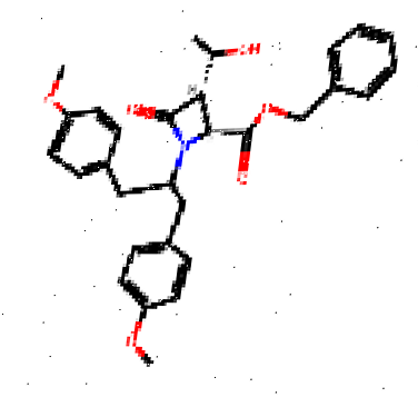 COc1ccc(CC(Cc2ccc(OC)cc2)N2C(=O)[C@H](C(C)O)[C@H]2C(=O)OCc2ccccc2)cc1